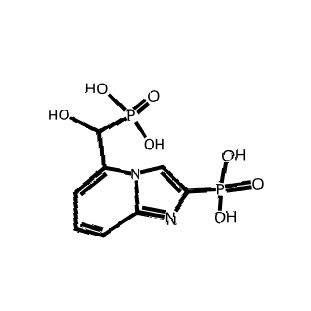 O=P(O)(O)c1cn2c(C(O)P(=O)(O)O)cccc2n1